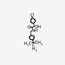 CC(C)(C)c1ccc(CNC(=O)C(O)c2ccc(Cl)cc2)cc1